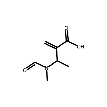 C=C(C(=O)O)C(C)N(C)C=O